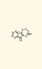 [CH]1NCCCc2c1[nH]c1ccccc21